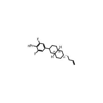 C=CCC[C@@H]1CC[C@@H]2CC(c3cc(F)c(CCC)c(F)c3)CC[C@@H]2C1